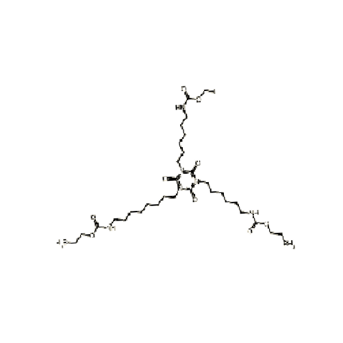 BCCOC(=O)NCCCCCCCCn1c(=O)n(CCCCCCNC(=O)OCI)c(=O)n(CCCCCCNC(=O)OCCB)c1=O